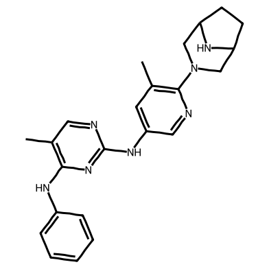 Cc1cnc(Nc2cnc(N3CC4CCC(C3)N4)c(C)c2)nc1Nc1ccccc1